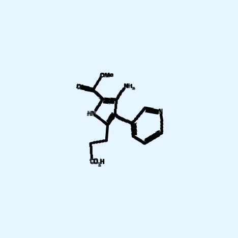 COC(=O)c1[nH]c(CCC(=O)O)c(-c2cccnc2)c1N